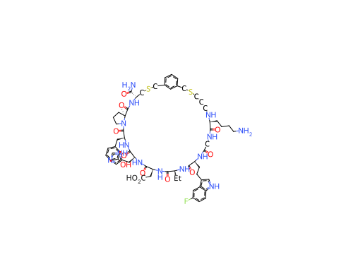 CC[C@@H]1NC(=O)[C@H](CCc2c[nH]c3ccc(F)cc23)NC(=O)CNC(=O)[C@H](CCCCN)NCCCSCc2cccc(c2)CSC[C@@H](C(N)=O)NC(=O)[C@]2(C)CCCN2C(=O)[C@H](Cc2cccc(O)c2)NC(=O)[C@H](Cc2cnc[nH]2)NC(=O)[C@H](CC(=O)O)NC1=O